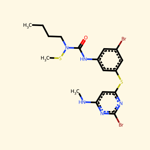 CCCCN(SC)C(=O)Nc1cc(Br)cc(Sc2cc(NC)nc(Br)n2)c1